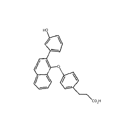 O=C(O)CCc1ccc(Oc2c(-c3cccc(O)c3)ccc3ccccc23)cc1